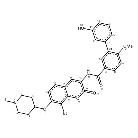 CCc1c(OC2CCN(C)CC2)ccc2cc(NC(=O)c3ccc(OC)c(-c4cccc(O)c4)c3)c(=O)oc12